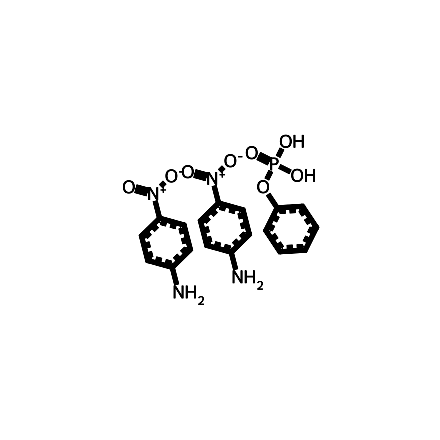 Nc1ccc([N+](=O)[O-])cc1.Nc1ccc([N+](=O)[O-])cc1.O=P(O)(O)Oc1ccccc1